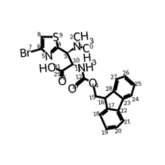 CN(C)[C@H](c1nc(Br)cs1)[C@H](NC(=O)OCC1c2ccccc2-c2ccccc21)C(=O)O